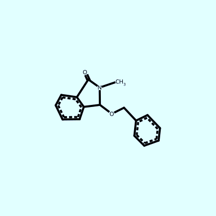 CN1C(=O)c2ccccc2C1OCc1ccccc1